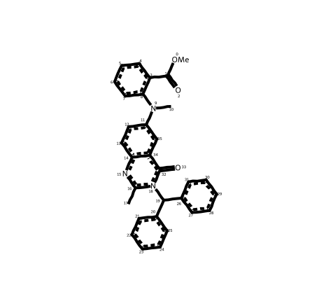 COC(=O)c1ccccc1N(C)c1ccc2nc(C)n(C(c3ccccc3)c3ccccc3)c(=O)c2c1